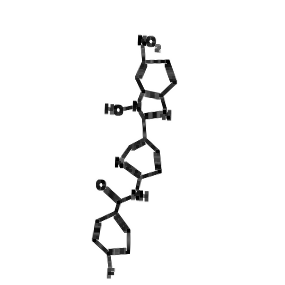 O=C(Nc1ccc(-c2nc3ccc([N+](=O)[O-])cc3n2O)cn1)c1ccc(F)cc1